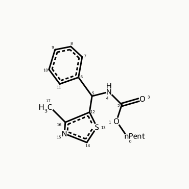 CCCCCOC(=O)NC(c1ccccc1)c1scnc1C